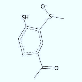 CC(=O)c1ccc(S)c([S+](C)[O-])c1